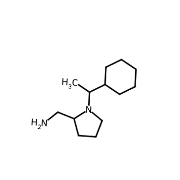 CC(C1CCCCC1)N1CCCC1CN